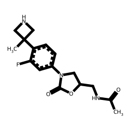 CC(=O)NCC1CN(c2ccc(C3(C)CNC3)c(F)c2)C(=O)O1